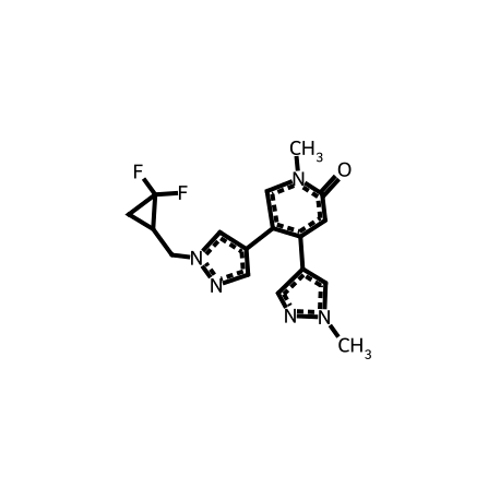 Cn1cc(-c2cc(=O)n(C)cc2-c2cnn(CC3CC3(F)F)c2)cn1